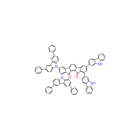 O=c1c2c(-c3ccc4c(c3)[nH]c3ccccc34)cc(-c3ccc4c(c3)[nH]c3ccccc34)cc2c2ccc3c4cc(-n5c6ccc(-c7ccccc7)cc6c6cc(-c7ccccc7)ccc65)cc(-n5c6ccc(-c7ccccc7)cc6c6cc(-c7ccccc7)ccc65)c4c(=O)c3c12